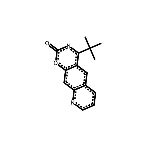 CC(C)(C)c1nc(=O)oc2cc3ncccc3cc12